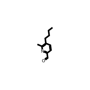 CCCCc1ccc(C=O)nc1C